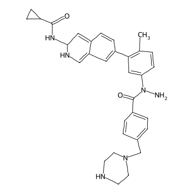 Cc1ccc(N(N)C(=O)c2ccc(CN3CCNCC3)cc2)cc1-c1ccc2c(c1)=CNC(NC(=O)C1CC1)C=2